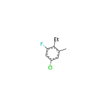 CCc1c(C)cc(Cl)cc1F